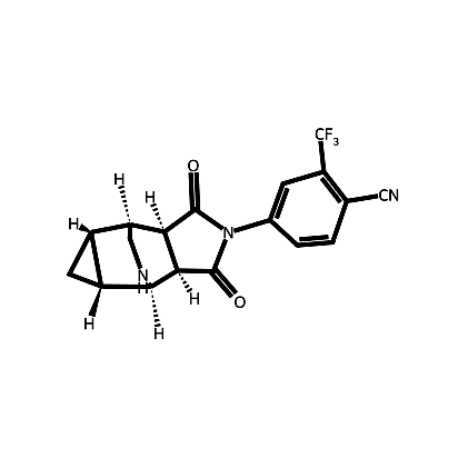 N#Cc1ccc(N2C(=O)[C@@H]3[C@H]4CN[C@H]([C@@H]5C[C@@H]54)[C@@H]3C2=O)cc1C(F)(F)F